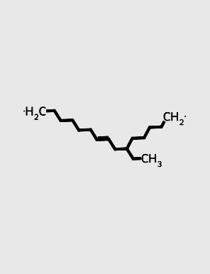 [CH2]CCCCCC=CCC(CC)CCCC[CH2]